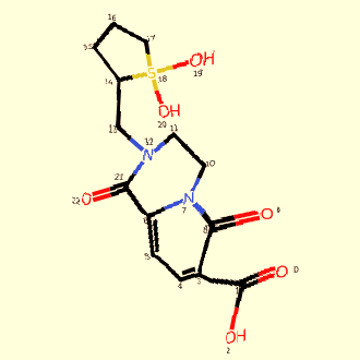 O=C(O)c1ccc2n(c1=O)CCN(CC1CCCS1(O)O)C2=O